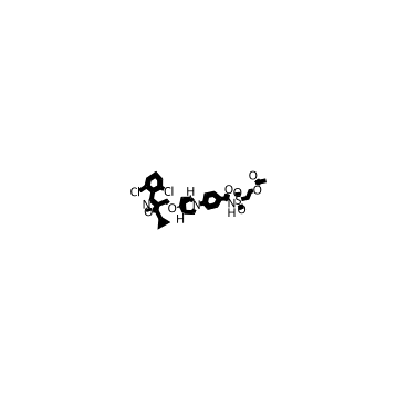 CC(=O)OCCS(=O)(=O)NC(=O)c1ccc(N2C[C@@H]3C[C@H]2C[C@H]3OCc2c(-c3c(Cl)cccc3Cl)noc2C2CC2)cc1